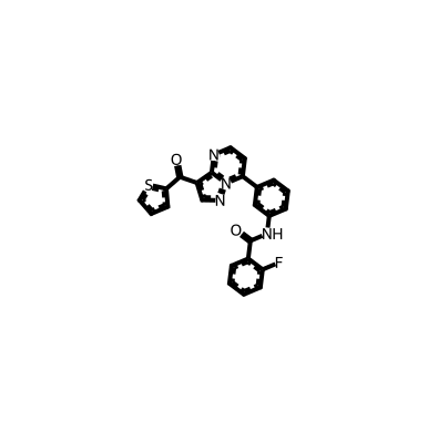 O=C(Nc1cccc(-c2ccnc3c(C(=O)c4cccs4)cnn23)c1)c1ccccc1F